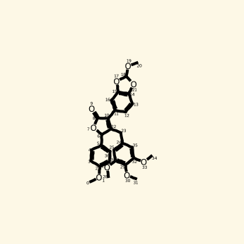 COc1ccc(C2OC(=O)C(c3ccc4c(c3)OC(OC)O4)=C2Cc2cc(OC)c(OC)c(OC)c2)cc1